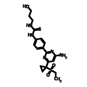 CCS(=O)(=O)C1(c2cc(N)nc(-c3ccc(NC(=S)NCCCO)cc3)n2)CC1